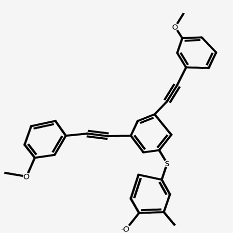 COc1cccc(C#Cc2cc(C#Cc3cccc(OC)c3)cc(Sc3ccc([O])c(C)c3)c2)c1